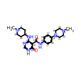 CN1CCC(Nc2nc[nH]c(=O)c2C(=O)Nc2ccc(N3CCN(C)CC3)cc2)CC1